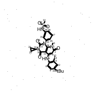 Cn1c(=O)cc(Nc2ccc(C(C)(C)C)cc2F)c2c(=O)n(C3CC3)c(=O)n(-c3cccc(NS(C)(=O)=O)c3)c21